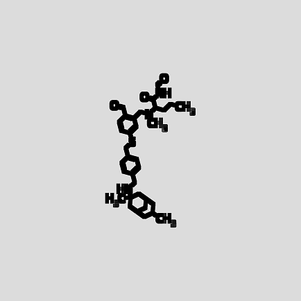 CCCC(C(=O)NC=O)N(C)Cc1cc(SCc2ccc(CNC3(C)CC4CC(C)CC(C4)C3)cc2)ccc1C=O